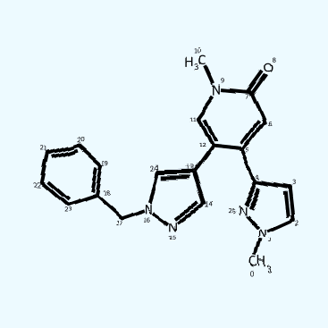 Cn1ccc(-c2cc(=O)n(C)cc2-c2cnn(Cc3ccccc3)c2)n1